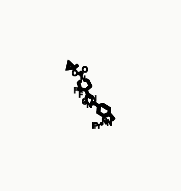 CC(C)n1ncc2ccc(-c3noc(C4CCN(C(=O)OC5(C)CC5)CC4(F)F)n3)cc21